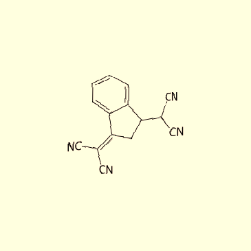 N#CC(C#N)=C1CC(C(C#N)C#N)c2ccccc21